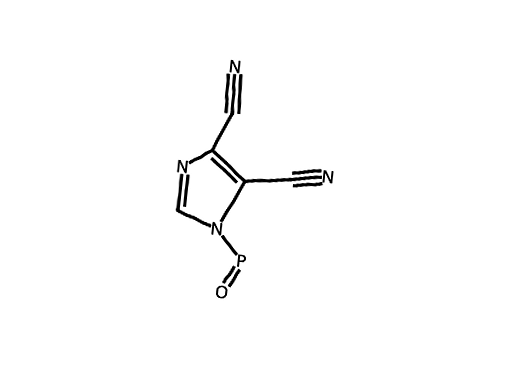 N#Cc1ncn(P=O)c1C#N